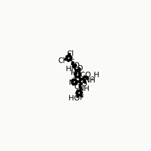 O=C(CC(C(=C1CCNC1=O)C1=C(C(=O)O)N2C(=O)[C@@H](NC(=O)CSc3cc(Cl)cc(Cl)c3)[C@H]2SC1)c1ccncc1)Nc1ccc(O)c(F)c1